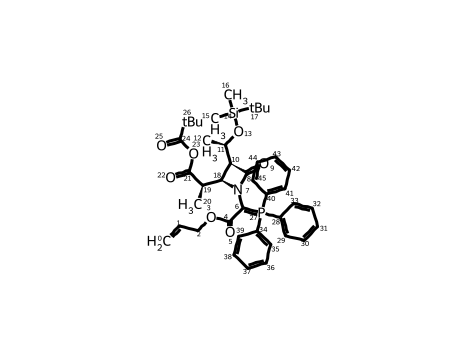 C=CCOC(=O)C(N1C(=O)[C@H]([C@@H](C)O[Si](C)(C)C(C)(C)C)[C@@H]1[C@@H](C)C(=O)OC(=O)C(C)(C)C)=P(c1ccccc1)(c1ccccc1)c1ccccc1